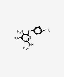 CNc1nc(N)c(N)c(Oc2ccc(C)cc2)n1